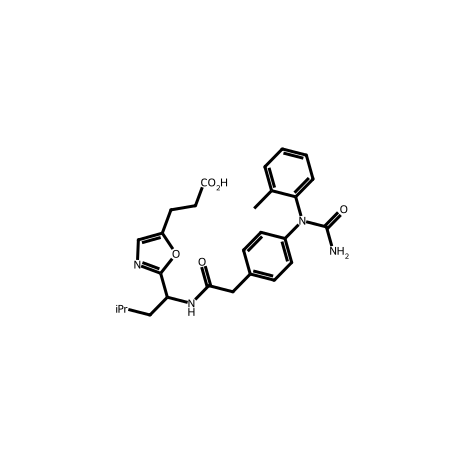 Cc1ccccc1N(C(N)=O)c1ccc(CC(=O)NC(CC(C)C)c2ncc(CCC(=O)O)o2)cc1